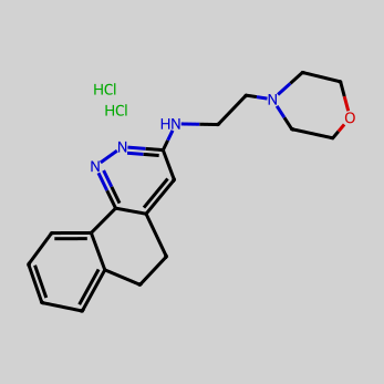 Cl.Cl.c1ccc2c(c1)CCc1cc(NCCN3CCOCC3)nnc1-2